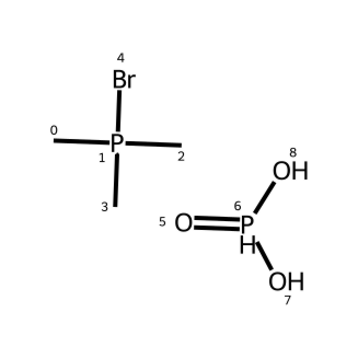 C[P](C)(C)Br.O=[PH](O)O